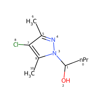 CCCC(O)n1nc(C)c(Cl)c1C